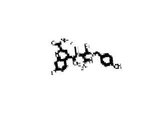 CCc1c(NC(=O)c2cc(C(N)=O)nc3cc(F)ccc23)c(C(F)(F)F)nn1Cc1ccc(C#N)cc1